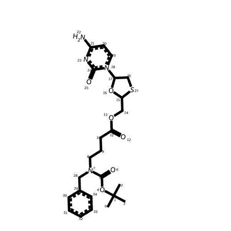 CC(C)(C)OC(=O)N(CCCC(=O)OCC1OC(n2ccc(N)nc2=O)CS1)Cc1ccccc1